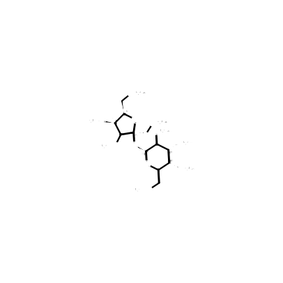 COCC1O[C@@H](O[C@]2(COC)O[C@H](COC)[C@H](OC)C2OC)C(OC)[C@H](OC)[C@@H]1OC